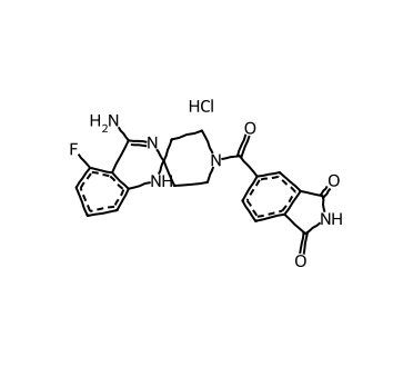 Cl.NC1=NC2(CCN(C(=O)c3ccc4c(c3)C(=O)NC4=O)CC2)Nc2cccc(F)c21